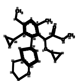 CCc1cc(C)c(C(OC2CC2)C(=O)OC)c(-c2ccc3c(c2)CCCO3)c1C1CC1